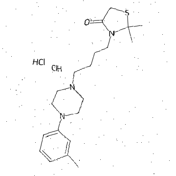 Cc1cccc(N2CCN(CCCCN3C(=O)CSC3(C)C)CC2)c1.Cl.Cl